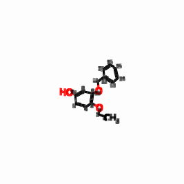 CCOc1ccc(O)cc1OCc1ccccc1